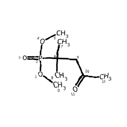 COP(=O)(OC)C(C)(C)CC(C)=O